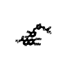 CCc1c(Cn2cnc(COC(=O)C(F)(F)F)c2)cccc1Nc1c(C(N)=O)cnc2cc(OC)c(OC)cc12